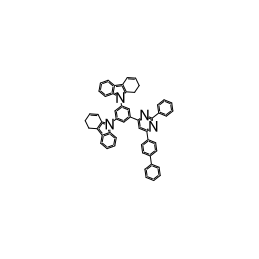 C1=Cc2c(c3ccccc3n2-c2cc(-c3cc(-c4ccc(-c5ccccc5)cc4)nc(-c4ccccc4)n3)cc(-n3c4c(c5ccccc53)C=CCC4)c2)CC1